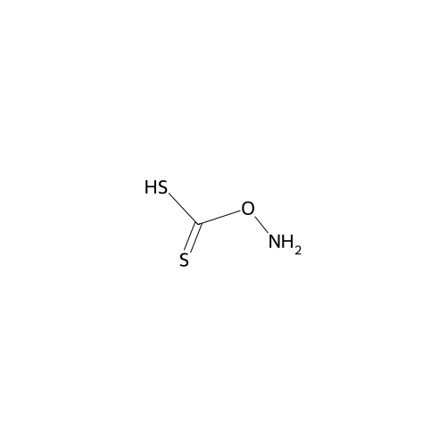 NOC(=S)S